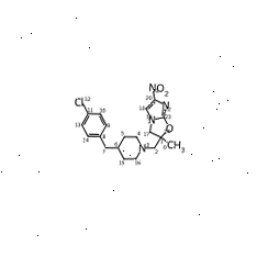 CC1(CN2CCC(Cc3ccc(Cl)cc3)CC2)Cn2cc([N+](=O)[O-])nc2O1